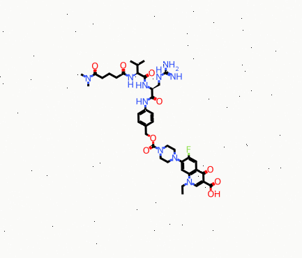 CCn1cc(C(=O)O)c(=O)c2cc(F)c(N3CCN(C(=O)OCc4ccc(NC(=O)[C@H](CNC(=N)N)NC(=O)[C@@H](NC(=O)CCCC(=O)N(C)C)C(C)C)cc4)CC3)cc21